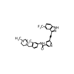 CN1CCN(Cc2ccc(NC(=O)c3cncc(C#Cc4n[nH]c5ccc(C(F)(F)F)cc45)c3)cc2C(F)(F)F)CC1